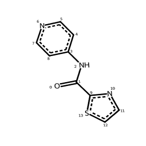 O=C(Nc1ccncc1)c1nccs1